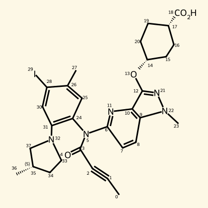 CC#CC(=O)N(c1ccc2c(n1)c(O[C@H]1CC[C@@H](C(=O)O)CC1)nn2C)c1cc(C)c(I)cc1N1CC[C@H](C)C1